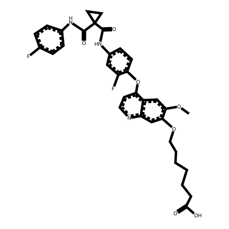 COc1cc2c(Oc3ccc(NC(=O)C4(C(=O)Nc5ccc(F)cc5)CC4)cc3F)ccnc2cc1OCCCCCCC(=O)O